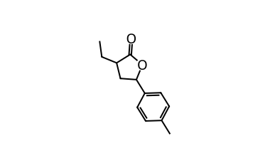 CCC1CC(c2ccc(C)cc2)OC1=O